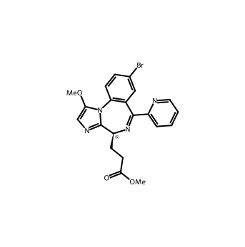 COC(=O)CC[C@@H]1N=C(c2ccccn2)c2cc(Br)ccc2-n2c(OC)cnc21